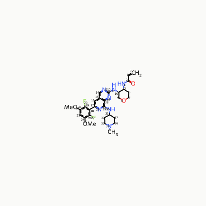 C=CC(=O)N[C@H]1CCOC[C@H]1Nc1ncc2cc(-c3c(F)c(OC)cc(OC)c3F)nc(NC3CCN(C)CC3)c2n1